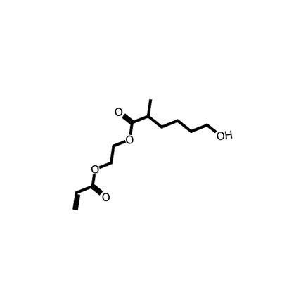 C=CC(=O)OCCOC(=O)C(C)CCCCO